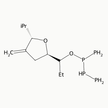 C=C1C[C@H](C(CC)OP(P)PP)O[C@H]1C(C)C